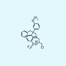 O[C@H](CCl)CNCC(Cc1ccccc1)(c1cccc(OC(F)(F)F)c1)c1cccc(OC(F)(F)F)c1